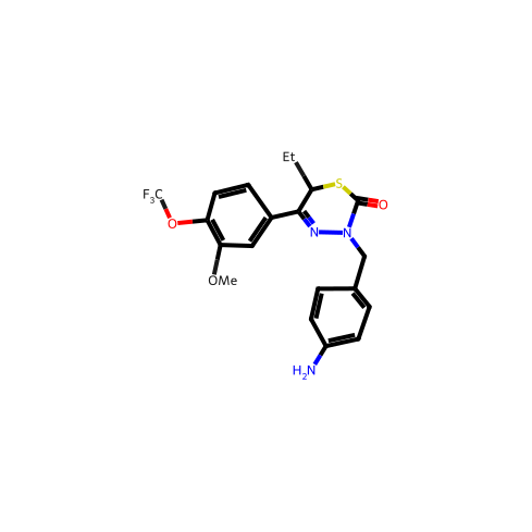 CCC1SC(=O)N(Cc2ccc(N)cc2)N=C1c1ccc(OC(F)(F)F)c(OC)c1